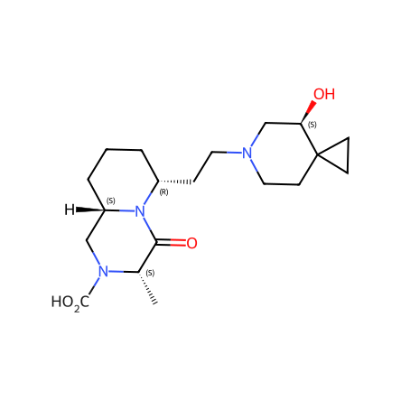 C[C@H]1C(=O)N2[C@@H](CCN3CCC4(CC4)[C@H](O)C3)CCC[C@H]2CN1C(=O)O